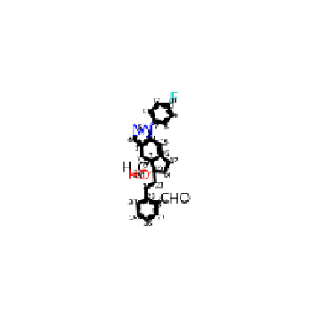 C[C@]12Cc3cnn(-c4ccc(F)cc4)c3C=C1CC[C@@]2(O)CCc1ccccc1C=O